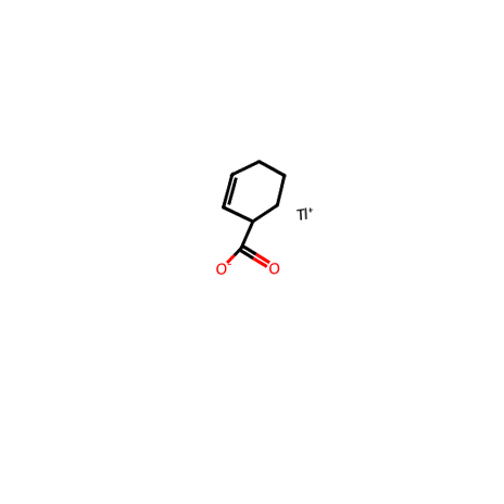 O=C([O-])C1C=CCCC1.[Tl+]